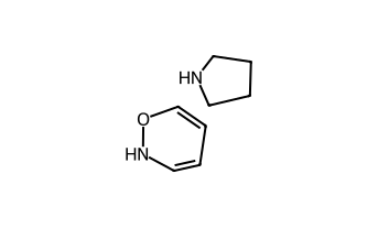 C1=CNOC=C1.C1CCNC1